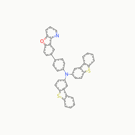 c1cnc2c(c1)oc1ccc(-c3ccc(N(c4ccc5sc6ccccc6c5c4)c4ccc5sc6ccccc6c5c4)cc3)cc12